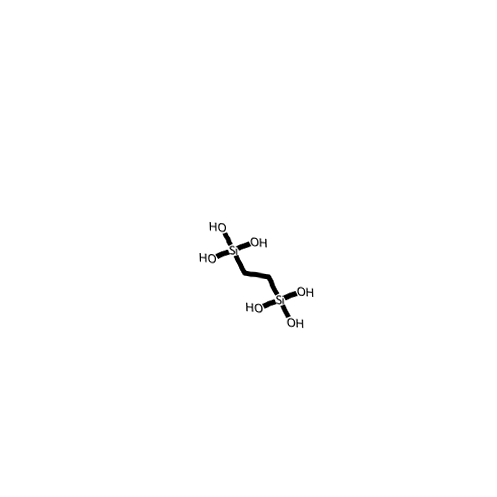 O[Si](O)(O)CC[Si](O)(O)O